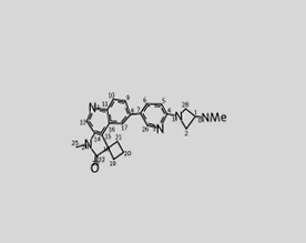 CNC1CN(c2ccc(-c3ccc4ncc5c(c4c3)C3(CCC3)C(=O)N5C)cn2)C1